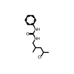 CC(Cl)CC(C)CNC(=O)Nc1ccccc1